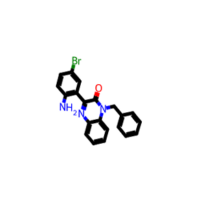 Nc1ccc(Br)cc1-c1nc2ccccc2n(Cc2ccccc2)c1=O